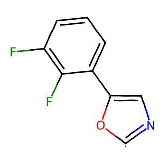 Fc1cccc(-c2cn[c]o2)c1F